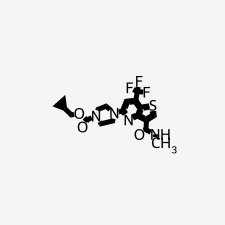 CNC(=O)c1csc2c(C(F)(F)F)cc(N3CCN(C(=O)OCC4CC4)CC3)nc12